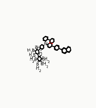 Bc1c(B)c(B)c2c(oc3c(-c4ccc(N(c5ccc(-c6ccc(-c7ccc8ccccc8c7)cc6)cc5)c5ccccc5-c5ccccc5)cc4)c(B)c(B)c(B)c32)c1B